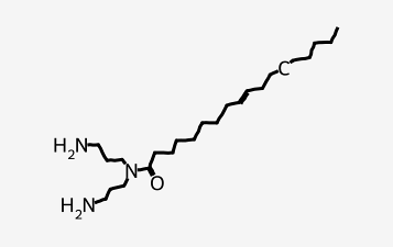 CCCCCCCCC=CCCCCCCCC(=O)N(CCCN)CCCN